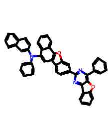 c1ccc(-c2nc(-c3ccc4c(c3)oc3c5ccccc5c(N(c5ccccc5)c5ccc6ccccc6c5)cc43)nc3c2oc2ccccc23)cc1